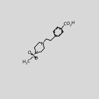 CS(=O)(=O)N1CCN(CCc2ccc(C(=O)O)cc2)CC1